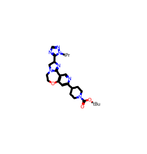 CC(C)n1ncnc1C1CN2CCOc3cc(C4CCN(C(=O)OC(C)(C)C)CC4)ncc3C2=N1